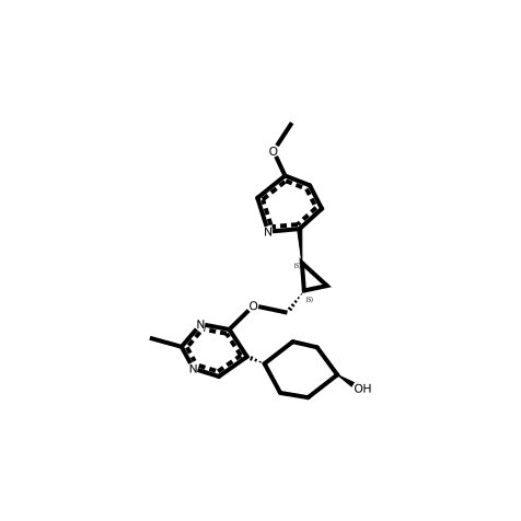 COc1ccc([C@H]2C[C@@H]2COc2nc(C)ncc2[C@H]2CC[C@H](O)CC2)nc1